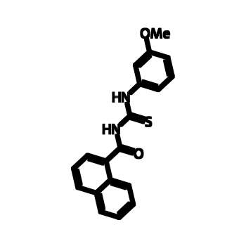 COc1cccc(NC(=S)NC(=O)c2cccc3ccccc23)c1